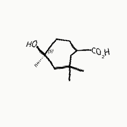 CC1(C)C[C@@](C)(O)CCC1C(=O)O